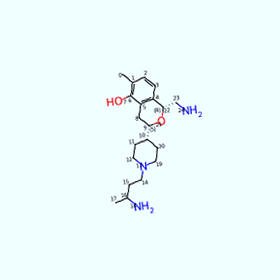 Cc1ccc2c(c1O)C[C@@H](C1CCN(CCC(C)N)CC1)O[C@H]2CN